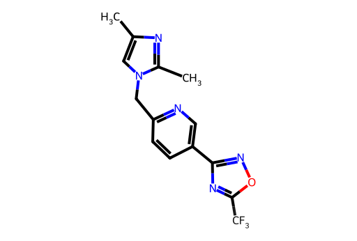 Cc1cn(Cc2ccc(-c3noc(C(F)(F)F)n3)cn2)c(C)n1